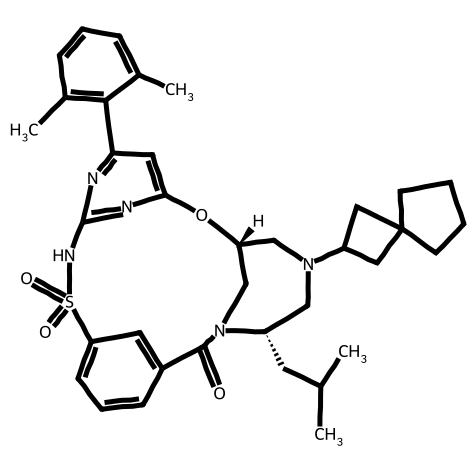 Cc1cccc(C)c1-c1cc2nc(n1)NS(=O)(=O)c1cccc(c1)C(=O)N1C[C@@H](CN(C3CC4(CCCC4)C3)C[C@@H]1CC(C)C)O2